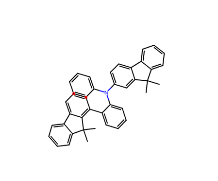 CC1(C)c2ccccc2-c2ccc(N(c3ccccc3)c3ccccc3-c3cccc4c3C(C)(C)c3ccccc3-4)cc21